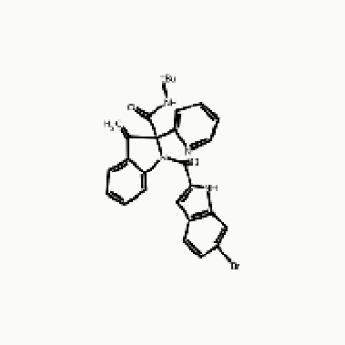 C=C1c2ccccc2N(C(=O)c2cc3ccc(Br)cc3[nH]2)C1(C(=O)NC(C)(C)C)c1ccccn1